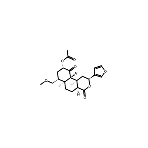 COC[C@@H]1C[C@H](OC(C)=O)C(=O)[C@H]2[C@@]1(C)CC[C@@H]1C(=O)O[C@H](c3ccoc3)C[C@]21C